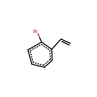 C=Cc1ccc[c]c1Br